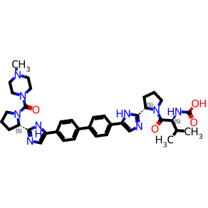 CC(C)[C@H](NC(=O)O)C(=O)N1CCC[C@H]1c1ncc(-c2ccc(-c3ccc(-c4cnc([C@@H]5CCCN5C(=O)N5CCN(C)CC5)[nH]4)cc3)cc2)[nH]1